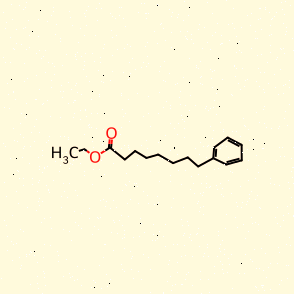 CCOC(=O)CCCCCCCc1ccccc1